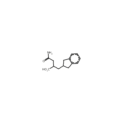 NC(=O)CC(CC1Cc2ccccc2C1)C(=O)O